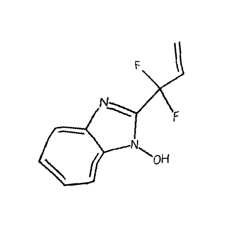 C=CC(F)(F)c1nc2ccccc2n1O